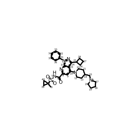 CC1(S(=O)(=O)NC(=O)c2cc(N3CCC(CN4CCCC4)CC3)c3c(C4CCC4)nn(-c4ccccc4)c3n2)CC1